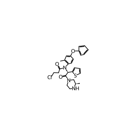 Cc1cc(Oc2ccccc2)ccc1N(C(=O)CCCl)[C@H](C(=O)N1CCN[C@H](C)C1)c1cccs1